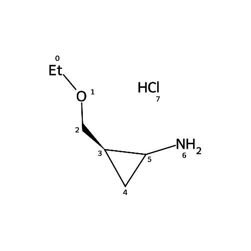 CCOC[C@@H]1CC1N.Cl